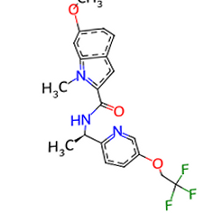 COc1ccc2cc(C(=O)N[C@H](C)c3ccc(OCC(F)(F)F)cn3)n(C)c2c1